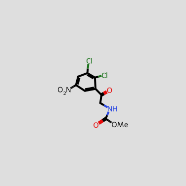 COC(=O)NCC(=O)c1cc([N+](=O)[O-])cc(Cl)c1Cl